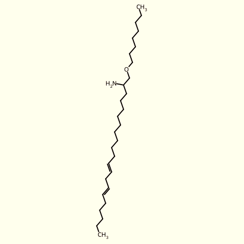 CCCCCC=CCC=CCCCCCCCCCC(N)COCCCCCCCC